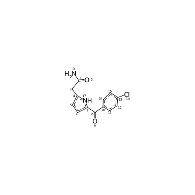 NC(=O)Cc1ccc(C(=O)c2ccc(Cl)cc2)[nH]1